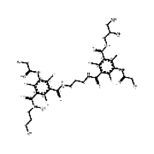 O=C(CO)Nc1c(I)c(C(=O)NCCCNC(=O)c2c(I)c(NC(=O)CO)c(I)c(C(=O)N(O)CCCO)c2I)c(I)c(C(=O)NCC(O)CO)c1I